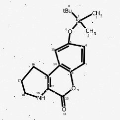 CC(C)(C)[Si](C)(C)Oc1ccc2oc(=O)c3c(c2c1)CCCN3